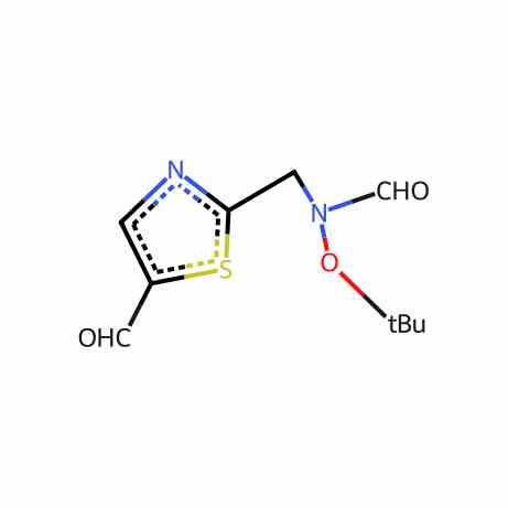 CC(C)(C)ON(C=O)Cc1ncc(C=O)s1